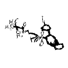 CC(C)(C)C(=O)NCCCNS(=O)(=O)c1cc2ccccc2cc1-c1ccc(F)cc1